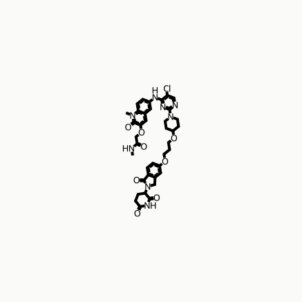 CNC(=O)COc1cc2cc(Nc3nc(N4CCC(OCCCOc5ccc6c(c5)CN(C5CCC(=O)NC5=O)C6=O)CC4)ncc3Cl)ccc2n(C)c1=O